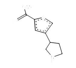 COC(=O)c1cc(C2CCNC2)cs1